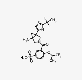 CC(Oc1ccc(S(C)(=O)=O)cc1C(=O)N1CC2(N)CC2(c2csc(C(C)(F)F)n2)C1)C(F)(F)F